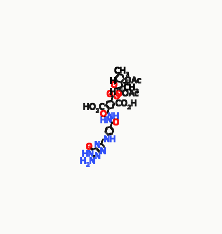 CC(=O)OC[C@]12CCC(C)=C[C@H]1O[C@@H]1[C@H](OC(=O)c3cc(C(=O)O)c(C(=O)NNC(=O)c4ccc(NCc5cnc6nc(N)[nH]c(=O)c6n5)cc4)cc3C(=O)O)[C@@H](OC(C)=O)[C@@]2(C)C12CO2